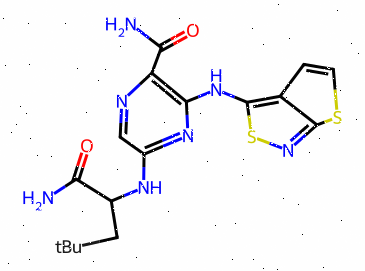 CC(C)(C)CC(Nc1cnc(C(N)=O)c(Nc2snc3sccc23)n1)C(N)=O